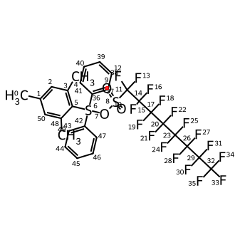 Cc1cc(C)c(S(OS(=O)(=O)C(F)(F)C(F)(F)C(F)(F)C(F)(F)C(F)(F)C(F)(F)C(F)(F)C(F)(F)F)(c2ccccc2)c2ccccc2)c(C)c1